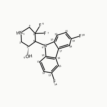 O[C@@H]1CNCC(F)(F)C1n1c2ccc(F)cc2c2cc(F)ccc21